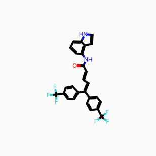 O=C(C=CC=C(c1ccc(C(F)(F)F)cc1)c1ccc(C(F)(F)F)cc1)Nc1cccc2[nH]ccc12